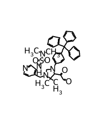 CN(C)S(=O)(=O)Nc1cnccc1CN1CN(c2ccc(C(c3ccccc3)(c3ccccc3)c3ccccc3)cc2)C(C(=O)C=O)C1(C)C